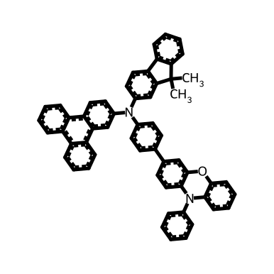 CC1(C)c2ccccc2-c2ccc(N(c3ccc(-c4ccc5c(c4)Oc4ccccc4N5c4ccccc4)cc3)c3ccc4c5ccccc5c5ccccc5c4c3)cc21